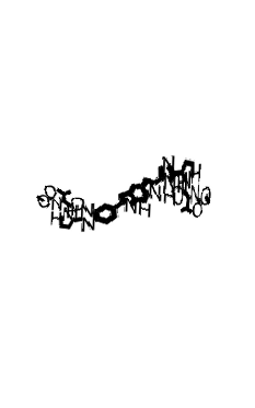 COC(=O)N[C@H](C(=O)N1CCCC1c1nc2ccc(-c3cc4cc5cc(-c6cnc(C7CCCN7C(=O)[C@H](NC(=O)OC)C(C)C)[nH]6)[nH]c5cc4[nH]3)cc2[nH]1)C(C)C